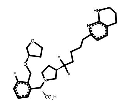 O=C(O)[C@H](c1cccc(F)c1CO[C@@H]1CCOC1)N1CC[C@@H](C(F)(F)CCCCc2ccc3c(n2)NCCC3)C1